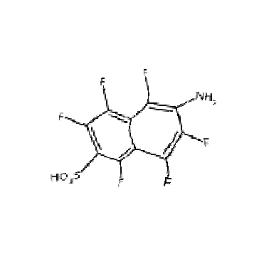 Nc1c(F)c(F)c2c(F)c(S(=O)(=O)O)c(F)c(F)c2c1F